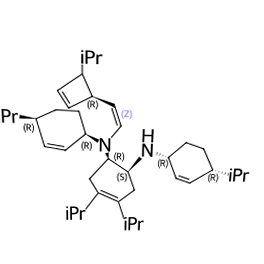 CC(C)C1=C(C(C)C)C[C@@H](N(/C=C\[C@H]2C=CC2C(C)C)[C@H]2C=C[C@@H](C(C)C)CC2)[C@@H](N[C@H]2C=C[C@@H](C(C)C)CC2)C1